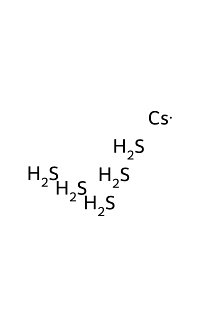 S.S.S.S.S.[Cs]